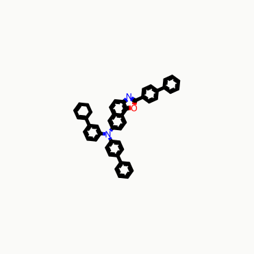 C1=CCCC(c2cccc(N(c3ccc(-c4ccccc4)cc3)c3ccc4c(ccc5nc(-c6ccc(-c7ccccc7)cc6)oc54)c3)c2)=C1